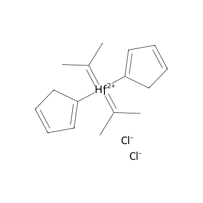 C[C](C)=[Hf+2]([C]1=CC=CC1)([C]1=CC=CC1)=[C](C)C.[Cl-].[Cl-]